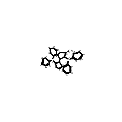 C[C@@H]1CCC(C2CCCC2P(c2ccccc2)c2ccccc2)C1P(c1ccccc1)c1ccccc1